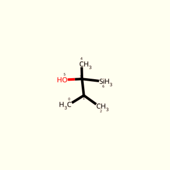 CC(C)C(C)(O)[SiH3]